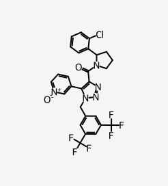 O=C(c1nnn(Cc2cc(C(F)(F)F)cc(C(F)(F)F)c2)c1-c1ccc[n+]([O-])c1)N1CCCC1c1ccccc1Cl